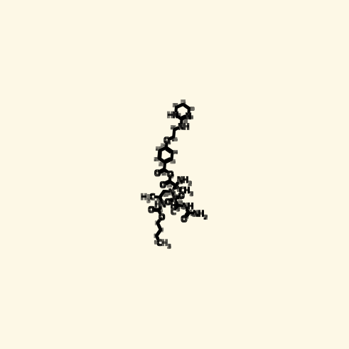 CCCCOC(=O)NC(C)CN([C@](C)(N)C(=O)OC(=O)c1ccc(OCCNC2=NCCCN2)cc1)S(=O)(=O)C(C)NC(N)=O